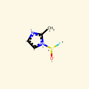 Cc1nccn1[S+]([O-])F